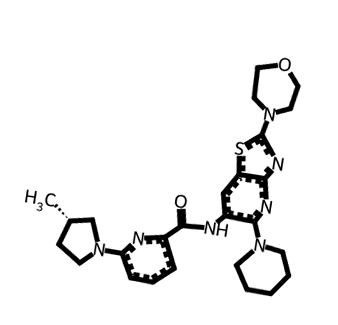 C[C@H]1CCN(c2cccc(C(=O)Nc3cc4sc(N5CCOCC5)nc4nc3N3CCCCC3)n2)C1